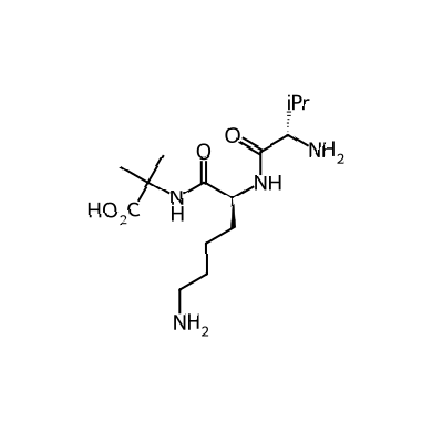 CC(C)[C@H](N)C(=O)N[C@@H](CCCCN)C(=O)NC(C)(C)C(=O)O